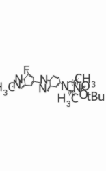 C[C@@H]1CN(c2ccc3nc(-c4cc(F)c5nn(C)cc5c4)ncc3c2)C[C@H](C)N1C(=O)OC(C)(C)C